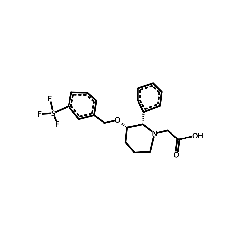 O=C(O)CN1CCC[C@H](OCc2cccc(S(F)(F)F)c2)[C@@H]1c1ccccc1